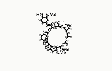 COC1CC(C=C(C)C2OC(=O)C3CCCCN3C(=O)C(=O)C3(O)OC(C(OC)CC(C)CC(C)=CC(CC(C)=O)C(=O)CC(O)C2C)C(OC)CC3C)CCC1O